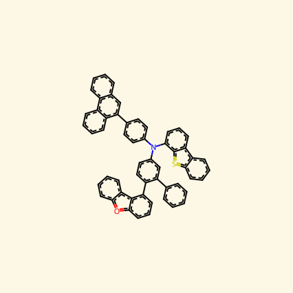 c1ccc(-c2cc(N(c3ccc(-c4cc5ccccc5c5ccccc45)cc3)c3cccc4c3sc3ccccc34)ccc2-c2cccc3oc4ccccc4c23)cc1